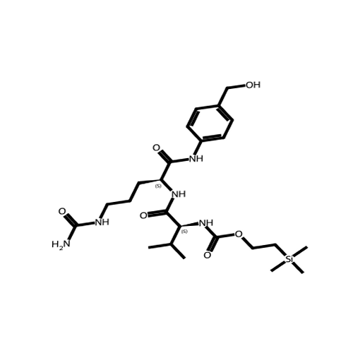 CC(C)[C@H](NC(=O)OCC[Si](C)(C)C)C(=O)N[C@@H](CCCNC(N)=O)C(=O)Nc1ccc(CO)cc1